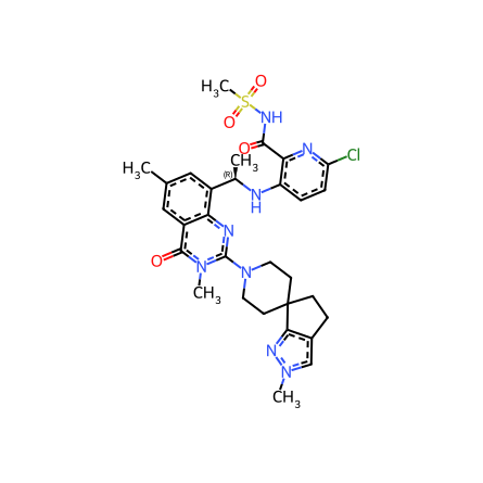 Cc1cc([C@@H](C)Nc2ccc(Cl)nc2C(=O)NS(C)(=O)=O)c2nc(N3CCC4(CCc5cn(C)nc54)CC3)n(C)c(=O)c2c1